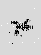 Cc1[nH]c(=O)c(CNC(=O)c2cc3c(-c4ccc(N)nc4)ccn3c(C(C)N3CCNCC3)c2C)c2c1CN(CC(C)C)CC2